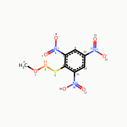 COPSc1c([N+](=O)[O-])cc([N+](=O)[O-])cc1[N+](=O)[O-]